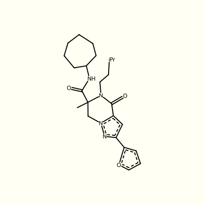 CC(C)CCN1C(=O)c2cc(-c3ccco3)nn2CC1(C)C(=O)NC1CCCCCC1